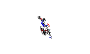 COC(=O)c1nc(N(CCCC(CO[Si](C)(C)C(C)(C)C)O[Si](c2ccccc2)(c2ccccc2)C(C)(C)C)c2cc(C)c(/N=c3\sc4ccccc4n3COCC[Si](C)(C)C)nn2)sc1CCCOc1ccc(C#CCN(C)C)cc1F